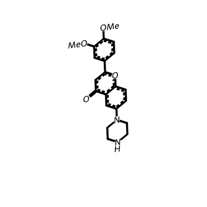 COc1ccc(-c2cc(=O)c3cc(N4CCNCC4)ccc3o2)cc1OC